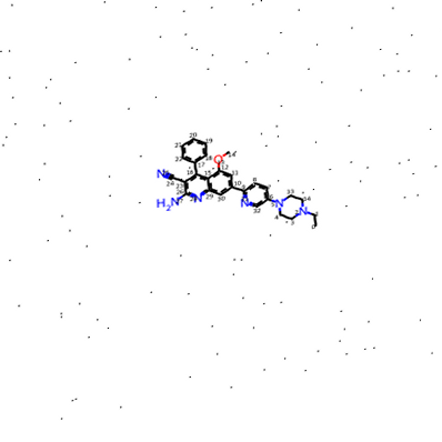 CCN1CCN(c2ccc(-c3cc(OC)c4c(-c5ccccc5)c(C#N)c(N)nc4c3)nc2)CC1